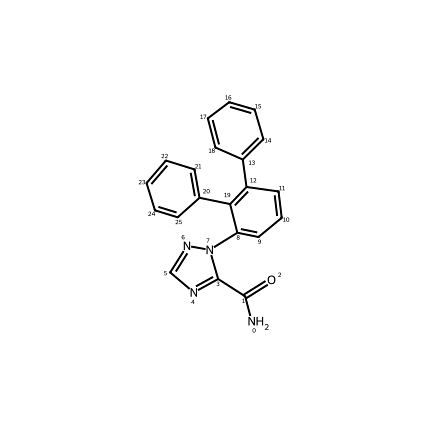 NC(=O)c1ncnn1-c1cccc(-c2ccccc2)c1-c1ccccc1